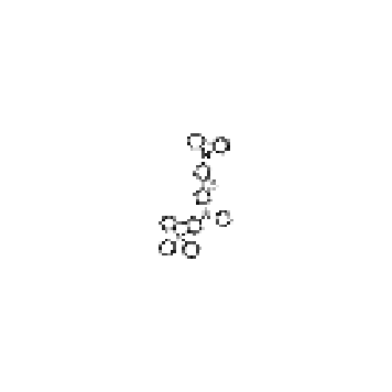 c1ccc(N(c2ccc3c(c2)-c2ccccc2C3(c2ccccc2)c2ccccc2)c2ccc3c(c2)sc2cc(-n4c5ccccc5c5ccccc54)ccc23)cc1